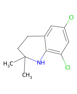 CC1(C)CCc2cc(Cl)cc(Cl)c2N1